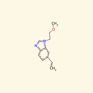 C=Cc1ccc2ncn(CCOC)c2c1